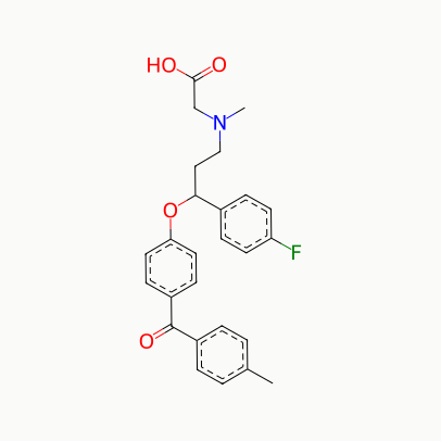 Cc1ccc(C(=O)c2ccc(OC(CCN(C)CC(=O)O)c3ccc(F)cc3)cc2)cc1